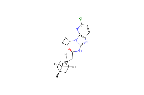 CC1(C)[C@H]2CC[C@@H](CC(=O)Nc3nc4ccc(Cl)nc4n3C3CCC3)[C@@H]1C2